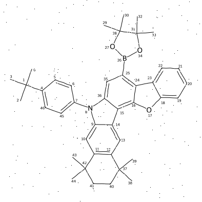 CC(C)(C)c1ccc(-n2c3cc4c(cc3c3c5oc6ccccc6c5c(B5OC(C)(C)C(C)(C)O5)cc32)C(C)(C)CCC4(C)C)cc1